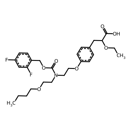 CCCCOCCN(CCOc1ccc(CC(OCC)C(=O)O)cc1)C(=O)OCc1ccc(F)cc1F